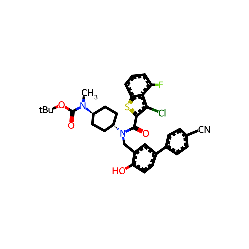 CN(C(=O)OC(C)(C)C)[C@H]1CC[C@H](N(Cc2cc(-c3ccc(C#N)cc3)ccc2O)C(=O)c2sc3cccc(F)c3c2Cl)CC1